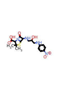 CC1(C)SC2C(NCC(O)CNc3ccc([N+](=O)[O-])cc3)C(=O)N2C1C(=O)O